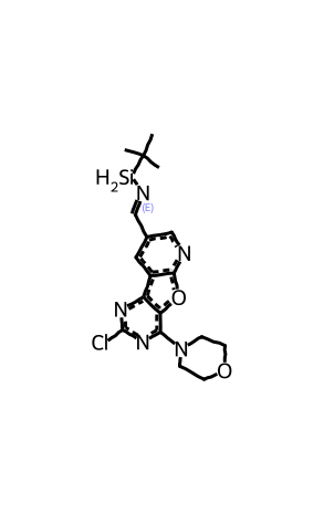 CC(C)(C)[SiH2]/N=C/c1cnc2oc3c(N4CCOCC4)nc(Cl)nc3c2c1